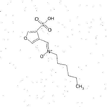 CCCCCC[N+]([O-])=Cc1cocc1S(=O)(=O)O